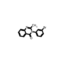 Cc1nc2ccccc2c(=O)n1-c1cccc(Br)c1